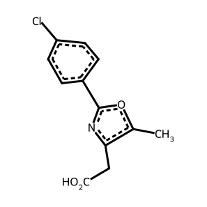 Cc1oc(-c2ccc(Cl)cc2)nc1CC(=O)O